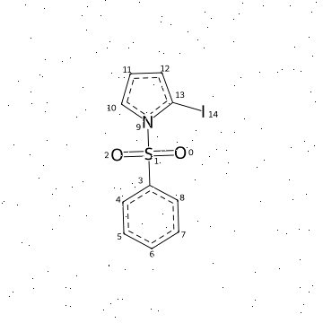 O=S(=O)(c1ccccc1)n1cccc1I